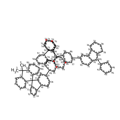 CC1(C)c2ccccc2C2(c3ccccc3-c3ccc(-c4ccc(N(c5ccc(-c6ccc7c(c6)c6ccccc6n7-c6ccccc6)cc5)c5ccccc5-c5ccccc5-c5ccccc5-c5ccccc5)cc4)cc32)c2ccccc21